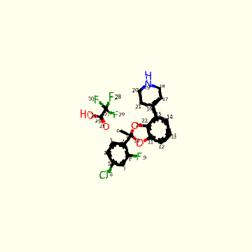 CC1(c2ccc(Cl)cc2F)Oc2cccc(C3=CCNCC3)c2O1.O=C(O)C(F)(F)F